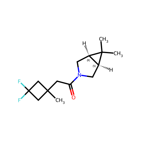 CC1(CC(=O)N2C[C@@H]3[C@H](C2)C3(C)C)CC(F)(F)C1